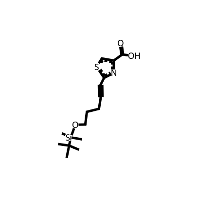 CC(C)(C)[Si](C)(C)OCCCC#Cc1nc(C(=O)O)cs1